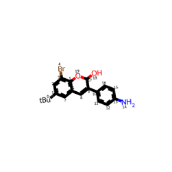 CC(C)(C)c1cc(Br)c2c(c1)C=C(c1ccc(N)cc1)C(O)O2